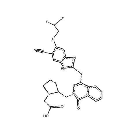 N#Cc1cc2[nH]c(Cc3nn(CC4CCCN4CC(=O)O)c(=O)c4ccccc34)nc2cc1OCC(F)F